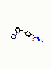 NNC(=O)Cc1ccc(CCc2cccc(N3CCCCC3)c2)cc1